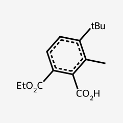 CCOC(=O)c1ccc(C(C)(C)C)c(C)c1C(=O)O